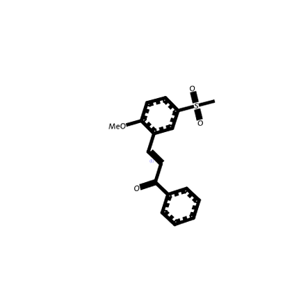 COc1ccc(S(C)(=O)=O)cc1/C=C/C(=O)c1ccccc1